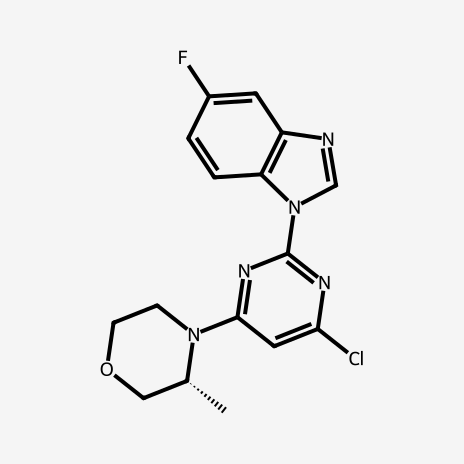 C[C@@H]1COCCN1c1cc(Cl)nc(-n2cnc3cc(F)ccc32)n1